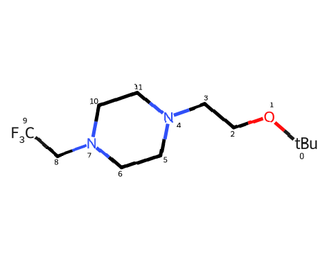 CC(C)(C)OCCN1CCN(CC(F)(F)F)CC1